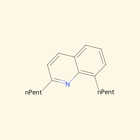 CCCCCc1ccc2cccc(CCCCC)c2n1